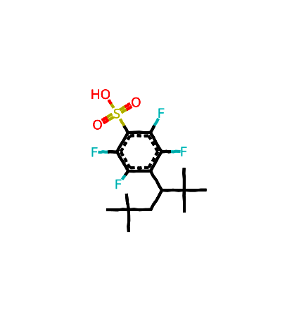 CC(C)(C)CC(c1c(F)c(F)c(S(=O)(=O)O)c(F)c1F)C(C)(C)C